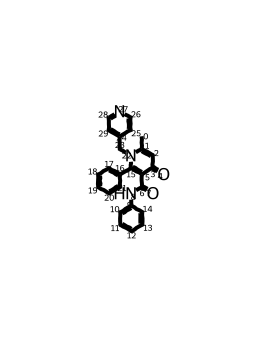 Cc1cc(=O)c(C(=O)Nc2ccccc2)c(-c2ccccc2)n1Cc1ccncc1